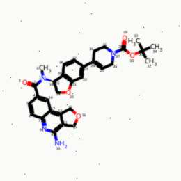 CN(C(=O)c1ccc2nc(N)c3c(c2c1)COC3)[C@@H]1COc2cc(C3=CCN(C(=O)OC(C)(C)C)CC3)ccc21